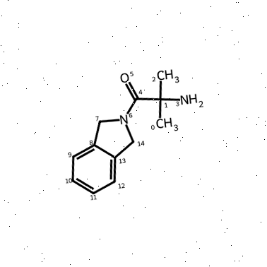 CC(C)(N)C(=O)N1Cc2ccccc2C1